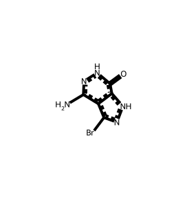 Nc1n[nH]c(=O)c2[nH]nc(Br)c12